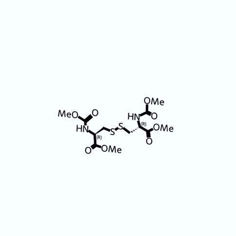 COC(=O)N[C@@H](CSSC[C@H](NC(=O)OC)C(=O)OC)C(=O)OC